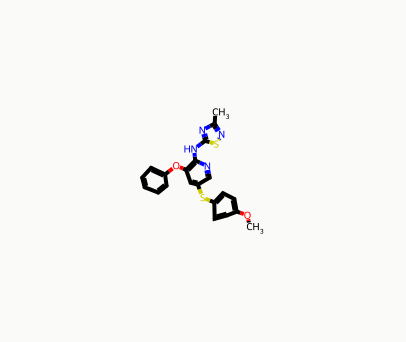 COc1ccc(Sc2cnc(Nc3nc(C)ns3)c(Oc3ccccc3)c2)cc1